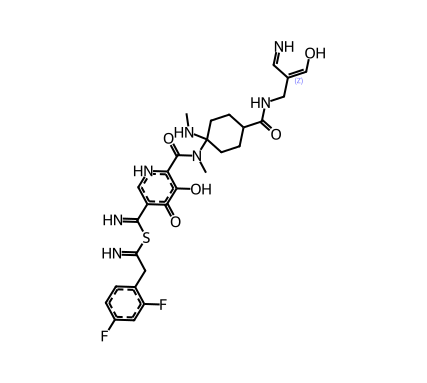 CNC1(N(C)C(=O)c2[nH]cc(C(=N)SC(=N)Cc3ccc(F)cc3F)c(=O)c2O)CCC(C(=O)NC/C(C=N)=C/O)CC1